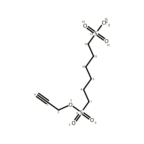 C#CCOS(=O)(=O)CCCCCCS(=O)(=O)C(F)(F)F